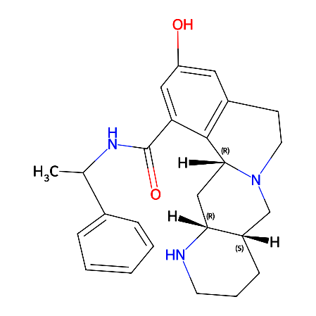 CC(NC(=O)c1cc(O)cc2c1[C@H]1C[C@H]3NCCC[C@H]3CN1CC2)c1ccccc1